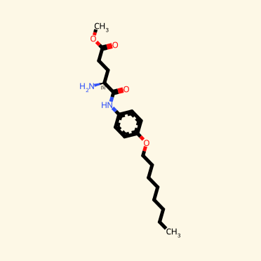 CCCCCCCCOc1ccc(NC(=O)[C@@H](N)CCC(=O)OC)cc1